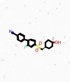 C[C@]1(O)CC[C@@H](CS(=O)(=O)c2ccc(-c3ccc(C#N)cc3)c(F)c2)CC1